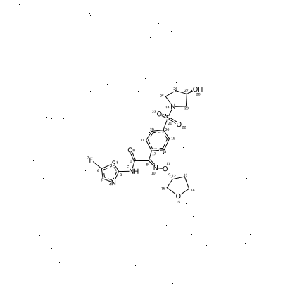 O=C(Nc1ncc(F)s1)/C(=N/O[C@@H]1CCOC1)c1ccc(S(=O)(=O)N2CC[C@@H](O)C2)cc1